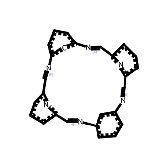 C1=N/c2cccc(c2)/N=C/c2cccc(n2)/C=N/c2cccc(c2)/N=C/c2cccc/1n2